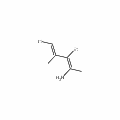 CCC(=C(\C)N)/C(C)=C/Cl